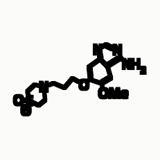 COc1cc2c(N)ncnc2cc1OCCCN1CCS(=O)(=O)CC1